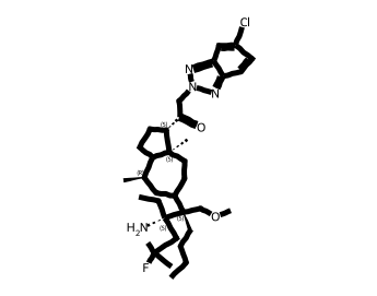 CCCC[C@](COC)(C1CC[C@@]2(C)C(CC[C@@H]2C(=O)Cn2nc3ccc(Cl)cc3n2)[C@H](C)C1)[C@](N)(CC)CC(C)(C)F